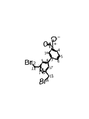 O=[N+]([O-])c1cccc(-c2cc(CBr)nc(CBr)c2)c1